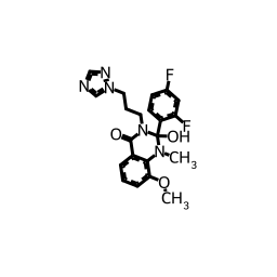 COc1cccc2c1N(C)C(O)(c1ccc(F)cc1F)N(CCCn1cncn1)C2=O